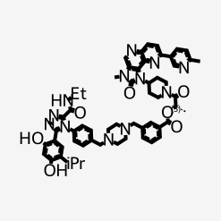 CCNC(=O)c1nnc(-c2cc(C(C)C)c(O)cc2O)n1-c1ccc(CN2CCN(Cc3cccc(C(=O)O[C@@H](C)C(=O)N4CCC(n5c(=O)n(C)c6cnc7ccc(-c8ccc(C)nc8)nc7c65)CC4)c3)CC2)cc1